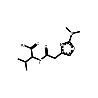 CC(C)C(NC(=O)Cc1csc(N(C)C)n1)C(=O)O